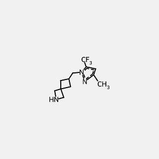 Cc1cc(C(F)(F)F)n(CC2CC3(CNC3)C2)n1